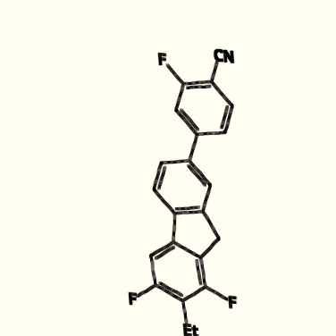 CCc1c(F)cc2c(c1F)Cc1cc(-c3ccc(C#N)c(F)c3)ccc1-2